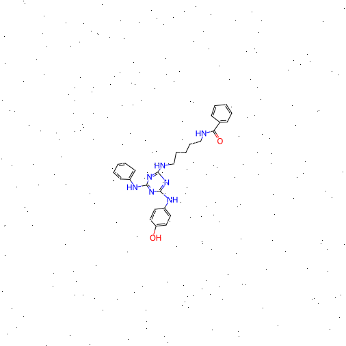 O=C(NCCCCCNc1nc(Nc2ccccc2)nc(Nc2ccc(O)cc2)n1)c1ccccc1